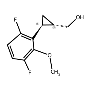 COc1c(F)ccc(F)c1[C@H]1C[C@@H]1CO